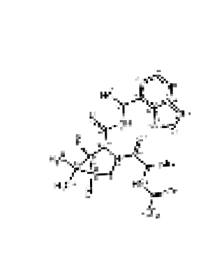 CC(C)(C)C(NC(=O)C(F)(F)F)C(=O)N1C[C@H]2[C@@H]([C@H]1C(=O)NC(C#N)c1cccc3scnc13)C2(C)C